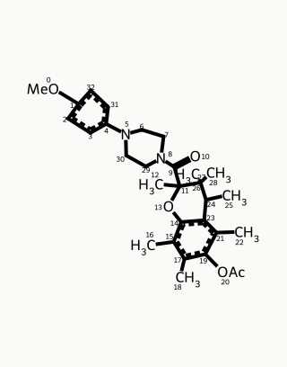 COc1ccc(N2CCN(C(=O)C3(C)Oc4c(C)c(C)c(OC(C)=O)c(C)c4C(C)C3(C)C)CC2)cc1